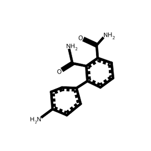 NC(=O)c1cccc(-c2ccc(N)cc2)c1C(N)=O